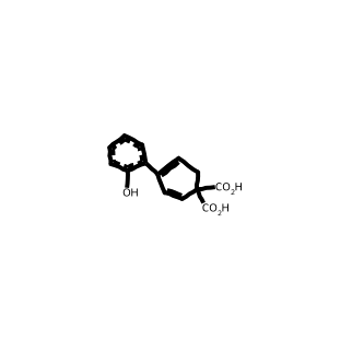 O=C(O)C1(C(=O)O)C=CC(c2ccccc2O)=CC1